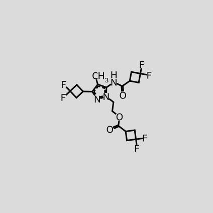 Cc1c(C2CC(F)(F)C2)nn(CCOC(=O)C2CC(F)(F)C2)c1NC(=O)C1CC(F)(F)C1